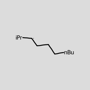 [CH2]CCCCCC[CH]C(C)C